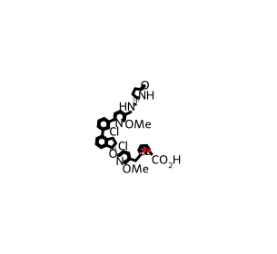 COc1nc(-c2cccc(-c3cccc4c3CC[C@@H]4Oc3nc(OC)c(CN4CC(C(=O)O)C5CCC4CC5)cc3Cl)c2Cl)ccc1CNC[C@@H]1CCC(=O)N1